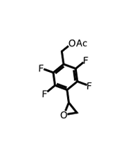 CC(=O)OCc1c(F)c(F)c(C2CO2)c(F)c1F